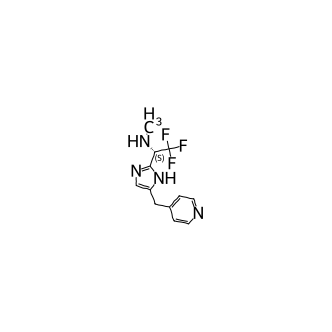 CN[C@@H](c1ncc(Cc2ccncc2)[nH]1)C(F)(F)F